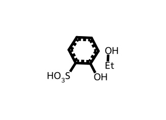 CCO.O=S(=O)(O)c1ccccc1O